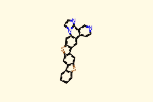 c1ccc2c(c1)sc1cc3c(cc12)sc1cc2c(cc13)c1ccncc1c1nccn21